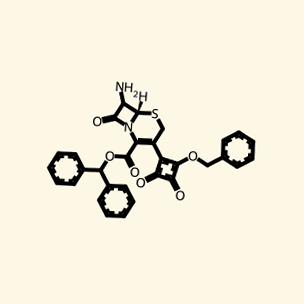 NC1C(=O)N2C(C(=O)OC(c3ccccc3)c3ccccc3)=C(c3c(OCc4ccccc4)c(=O)c3=O)CS[C@@H]12